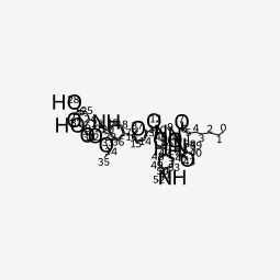 CCCCCC(C(=O)NCNC(=O)c1ccc(-c2ccc(C(=O)NC(CC(=O)O)C(=O)O)c(OCC)c2)o1)[C@@H](CC)N(C=O)OC(=O)c1ccc(NC)cc1